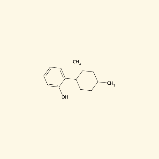 C.CC1CCC(c2ccccc2O)CC1